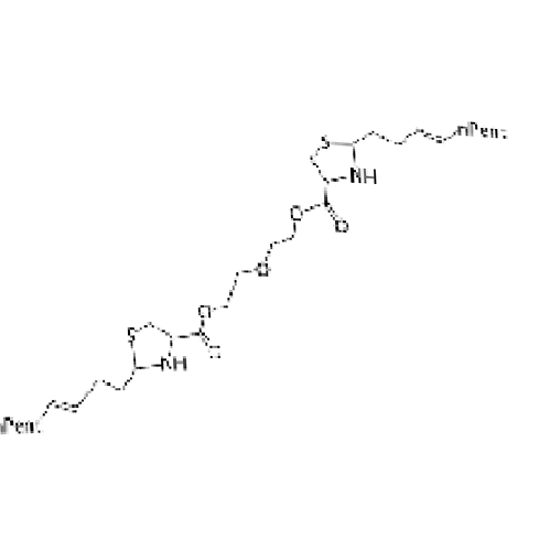 CCCCCC=CCCC1NC(C(=O)OCCOCCOC(=O)C2CSC(CCC=CCCCCC)N2)CS1